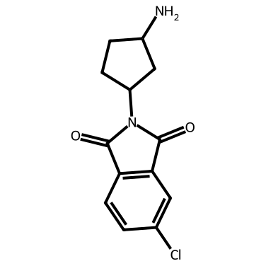 NC1CCC(N2C(=O)c3ccc(Cl)cc3C2=O)C1